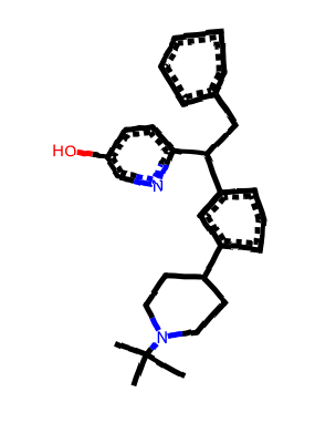 CC(C)(C)N1CCC(c2cccc(C(Cc3ccccc3)c3ccc(O)cn3)c2)CC1